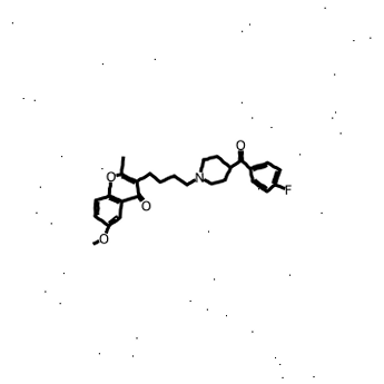 COc1ccc2oc(C)c(CCCCN3CCC(C(=O)c4ccc(F)cc4)CC3)c(=O)c2c1